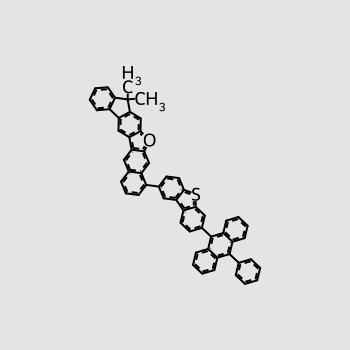 CC1(C)c2ccccc2-c2cc3c(cc21)oc1cc2c(-c4ccc5sc6cc(-c7c8ccccc8c(-c8ccccc8)c8ccccc78)ccc6c5c4)cccc2cc13